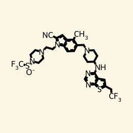 Cc1c(CN2CCC(Nc3ncnc4sc(CC(F)(F)F)cc34)CC2)ccc2c1cc(C#N)n2CCN1CCN([S+]([O-])C(F)(F)F)CC1